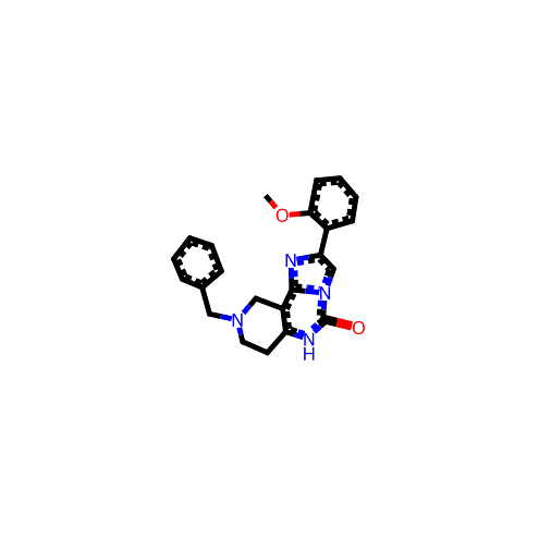 COc1ccccc1-c1cn2c(=O)[nH]c3c(c2n1)CN(Cc1ccccc1)CC3